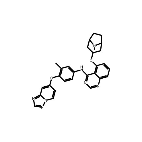 Cc1cc(Nc2ncnc3cccc(OC4CC5CCC(C4)N5C)c23)ccc1Oc1ccn2ncnc2c1